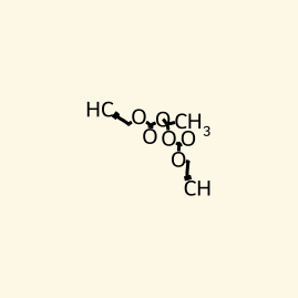 C#CCOC(=O)OC(C)OC(=O)OCC#C